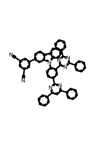 N#Cc1cc(C#N)cc(-c2ccc3c4ccccc4n(-c4ccc(-c5nc(-c6ccccc6)cc(-c6ccccc6)n5)cc4-c4nc(-c5ccccc5)nc(-c5ccccc5)n4)c3c2)c1